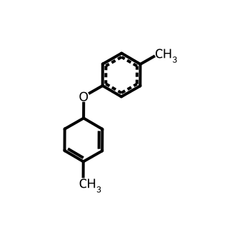 CC1=CCC(Oc2ccc(C)cc2)C=C1